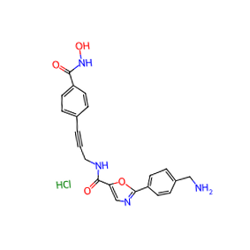 Cl.NCc1ccc(-c2ncc(C(=O)NCC#Cc3ccc(C(=O)NO)cc3)o2)cc1